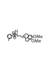 COc1cc2c3c(c1OC)CCC3N(CCCNS(=O)(=O)c1cccc(C)c1)CC2